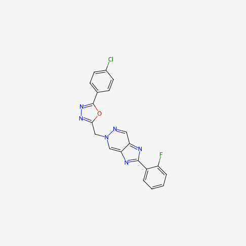 Fc1ccccc1-c1nc2cnn(Cc3nnc(-c4ccc(Cl)cc4)o3)cc-2n1